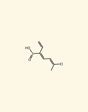 C=C/C(=C\C=C(/C)Cl)S(=O)O